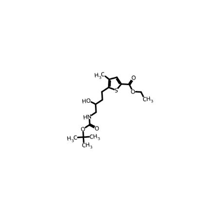 CCOC(=O)c1cc(C)c(CCC(O)CNC(=O)OC(C)(C)C)s1